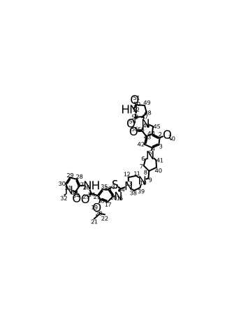 COc1cc(N2CCC(CN3CCN(c4nc5cc(OC(C)C)c(C(=O)Nc6cccn(C)c6=O)cc5s4)CC3)CC2)cc2c1CN(C1CCC(=O)NC1=O)C2=O